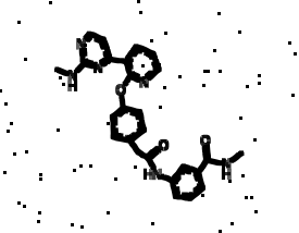 CNC(=O)c1cccc(NC(=O)Cc2ccc(Oc3ncccc3-c3ccnc(NC)n3)cc2)c1